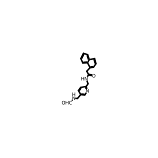 O=CNCc1ccc(CNC(=O)Cc2cccc3ccccc23)nc1